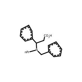 CCCN(Cc1ccccc1)C(CC(=O)O)c1ccccc1